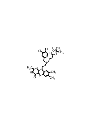 C=c1nc2c(c(=O)[nH]1)=Nc1cc(C)c(C)cc1N2CCN(CCCC(=O)OC(C)(C)C)Cc1ccc(Cl)c(Cl)c1